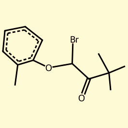 Cc1ccccc1OC(Br)C(=O)C(C)(C)C